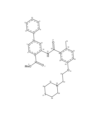 COC(=O)c1ccc(-c2ccccc2)cc1NC(=O)c1cc(OCCN2CCSCC2)ccc1C